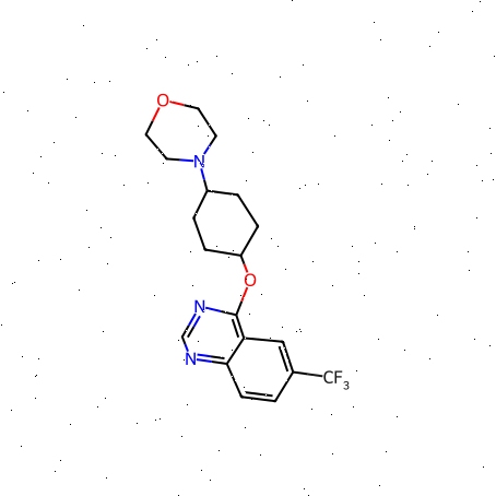 FC(F)(F)c1ccc2ncnc(OC3CCC(N4CCOCC4)CC3)c2c1